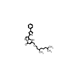 CC(C)CCCC(C)CCOCc1cc(=O)n2ncc(-c3cc(-c4ccccc4)cs3)c2[nH]1